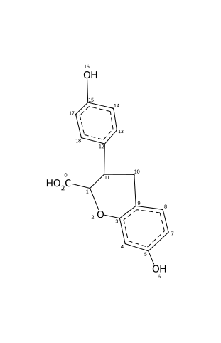 O=C(O)C1Oc2cc(O)ccc2CC1c1ccc(O)cc1